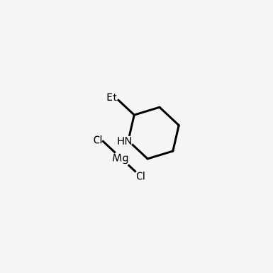 CCC1CCCCN1.[Cl][Mg][Cl]